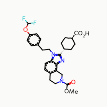 COC(=O)N1CCc2ccc3c(nc([C@H]4CC[C@H](C(=O)O)CC4)n3CCc3ccc(OC(F)F)cc3)c2C1